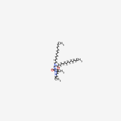 CCCCCCCCCCCCCCN(CCCCCCCCCCCCCC)CN1C(=O)NC(C)(CCCCC)C1=O